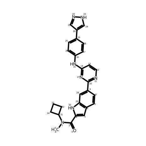 CN(C(=O)c1cc2ccc(-c3nccc(Nc4ccc(-c5cn[nH]c5)cc4)n3)cc2[nH]1)C1CCC1